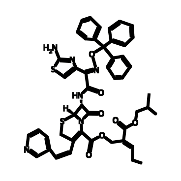 CC/C=C(\COC(=O)C1=C(/C=C\c2cccnc2)CS[C@@H]2[C@H](NC(=O)/C(=N/OC(c3ccccc3)(c3ccccc3)c3ccccc3)c3csc(N)n3)C(=O)N12)C(=O)OCC(C)C